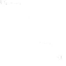 CCC#CCCCl